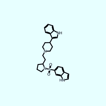 O=S(=O)(c1ccc2cc[nH]c2c1)N1CCCC1CCN1CCC(c2c[nH]c3ccccc23)CC1